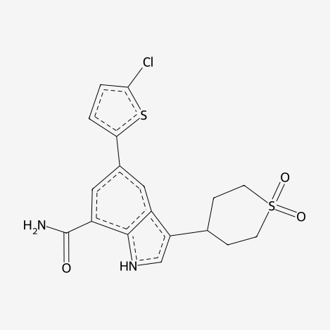 NC(=O)c1cc(-c2ccc(Cl)s2)cc2c(C3CCS(=O)(=O)CC3)c[nH]c12